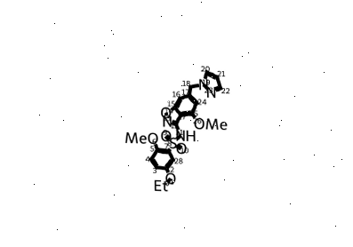 CCOc1ccc(OC)c(S(=O)(=O)Nc2noc3cc(Cn4cccn4)cc(OC)c23)c1